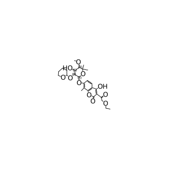 CCOCC(=O)c1c(O)c2ccc(O[C@@H]3OC(C)(C)[C@H](OC)[C@H](O)[C@H]3OC3CCCCO3)c(C)c2oc1=O